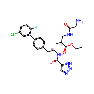 CCOC(=O)[C@H](CNC(=O)CN)C[C@@H](Cc1ccc(-c2cc(Cl)ccc2F)cc1)NC(=O)c1cnn[nH]1